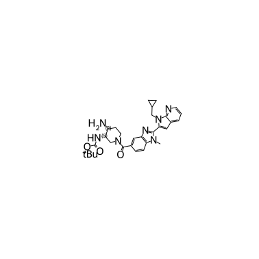 Cn1c(-c2cc3cccnc3n2CC2CC2)nc2cc(C(=O)N3CC[C@@H](N)[C@@H](NC(=O)OC(C)(C)C)C3)ccc21